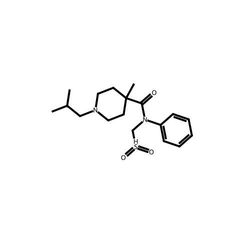 C[C](C)CN1CCC(C)(C(=O)N(C[SH](=O)=O)c2ccccc2)CC1